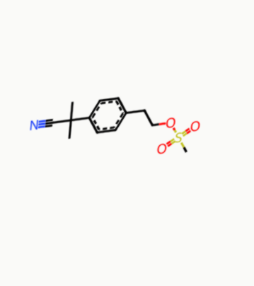 CC(C)(C#N)c1ccc(CCOS(C)(=O)=O)cc1